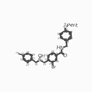 CCCCCc1ccc(CNC(=O)c2ccc(CN(O)Cc3ccc(I)cc3)c(Br)c2)cc1